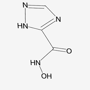 O=C(NO)c1ncn[nH]1